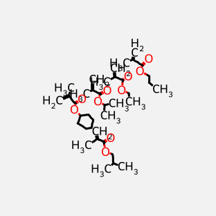 C=C(C)C(=O)OC(C)C.C=C(C)C(=O)OC1CCCCC1.C=C(C)C(=O)OCC.C=C(C)C(=O)OCC(C)C.C=C(C)C(=O)OCCC